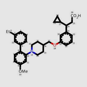 CCc1cccc(-c2ccc(OC)cc2N2CCC(COc3cccc(C(CC(=O)O)C4CC4)c3)CC2)c1